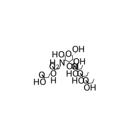 CCC(=O)O.CCC(=O)O.CCC(=O)O.CCC(=O)O.CCC(=O)O.N[C@H]1C(O)O[C@H](CO)[C@@H](O)[C@@H]1O